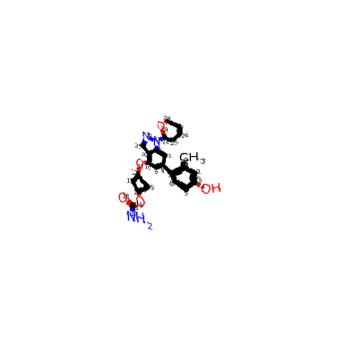 Cc1cc(O)ccc1-c1cc(OC2CC(OC(N)=O)C2)c2cnn(C3CCCCO3)c2c1